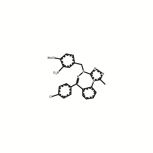 COc1ccc(CN2N=C(c3ccc(Cl)cc3)c3ccccc3-n3c(C)nnc32)cc1[N+](=O)[O-]